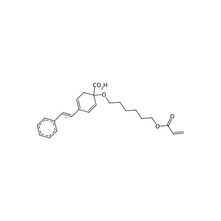 C=CC(=O)OCCCCCCOC1(C(=O)O)C=CC(/C=C/c2ccccc2)=CC1